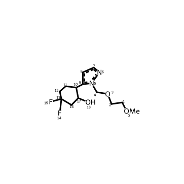 COCCOCn1nccc1C1CCC(F)(F)CC1O